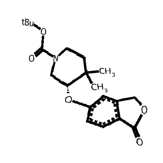 CC(C)(C)OC(=O)N1CCC(C)(C)[C@H](Oc2ccc3c(c2)COC3=O)C1